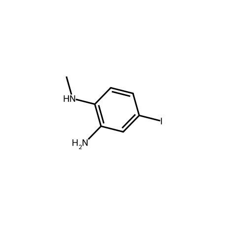 CNc1ccc(I)cc1N